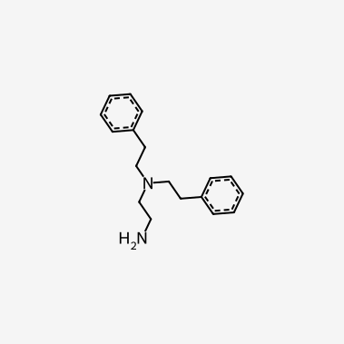 NCCN(CCc1ccccc1)CCc1ccccc1